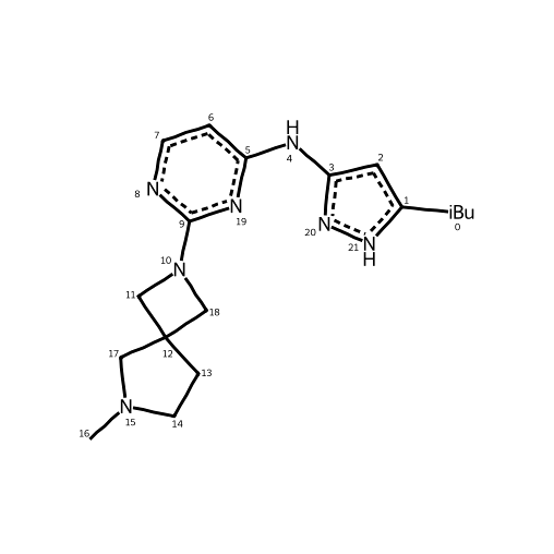 CCC(C)c1cc(Nc2ccnc(N3CC4(CCN(C)C4)C3)n2)n[nH]1